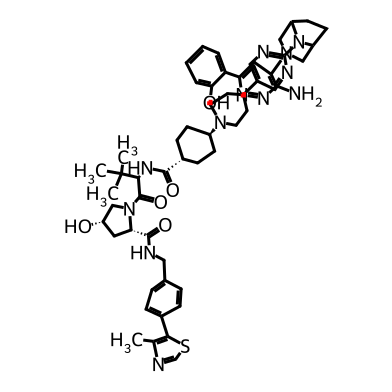 Cc1ncsc1-c1ccc(CNC(=O)[C@@H]2C[C@H](O)CN2C(=O)[C@@H](NC(=O)[C@H]2CC[C@H](N3CCC(c4cnc(N5C6CCC5CN(c5cc(-c7ccccc7O)nnc5N)C6)nc4)CC3)CC2)C(C)(C)C)cc1